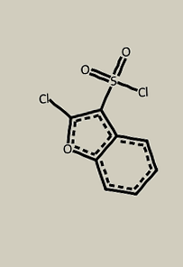 O=S(=O)(Cl)c1c(Cl)oc2ccccc12